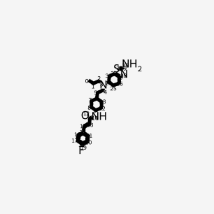 CCCN(CCC1CCC(NC(=O)/C=C/c2ccc(F)cc2)CC1)[C@H]1CCc2nc(N)sc2C1